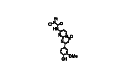 CCN(Cl)C(=O)Nc1ccc2ncc(-c3ccc(O)c(OC)c3)nc2n1.O